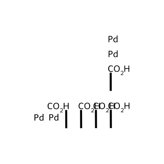 CC(=O)O.CC(=O)O.CC(=O)O.CC(=O)O.CC(=O)O.[Pd].[Pd].[Pd].[Pd]